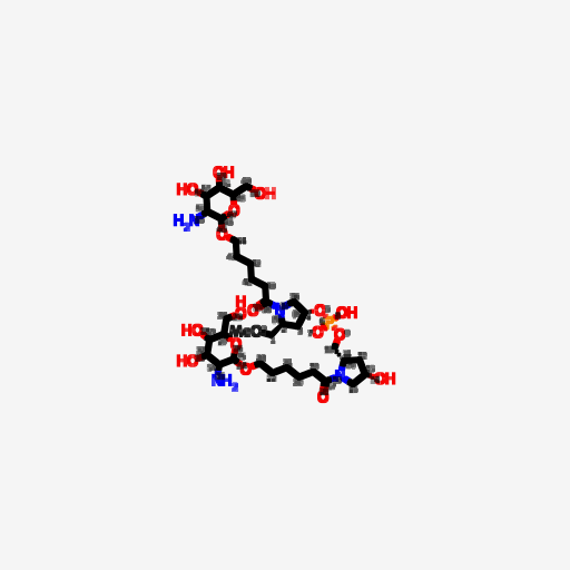 COC[C@@H]1C[C@@H](OP(=O)(O)OC[C@@H]2C[C@@H](O)CN2C(=O)CCCCCOC2OC(CO)C(O)C(O)C2N)CN1C(=O)CCCCCOC1OC(CO)C(O)C(O)C1N